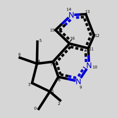 CC1(C)CC(C)(C)c2c1nnc1ccncc21